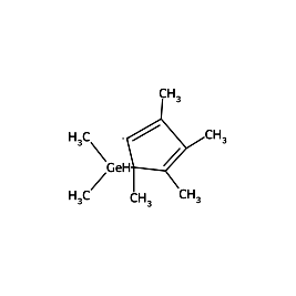 CC1=[C][C](C)([GeH]([CH3])[CH3])C(C)=C1C